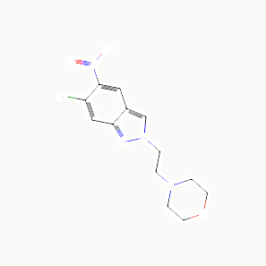 O=[N+]([O-])c1cc2cn(CCN3CCOCC3)nc2cc1Br